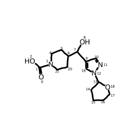 O=C(O)N1CCC(C(O)c2cnn(C3CCCCO3)c2)CC1